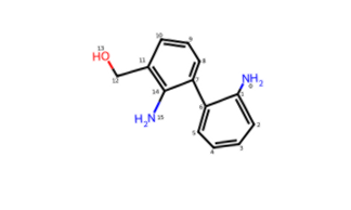 Nc1ccccc1-c1cccc(CO)c1N